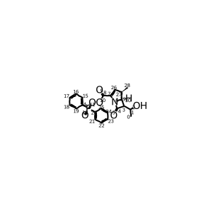 CC(O)C1C(=O)N2C(C(=O)OOP(=O)(c3ccccc3)c3ccccc3)=C[C@@H](C)[C@@H]12